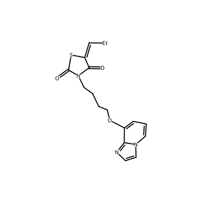 CCC=C1SC(=O)N(CCCCOc2cccn3ccnc23)C1=O